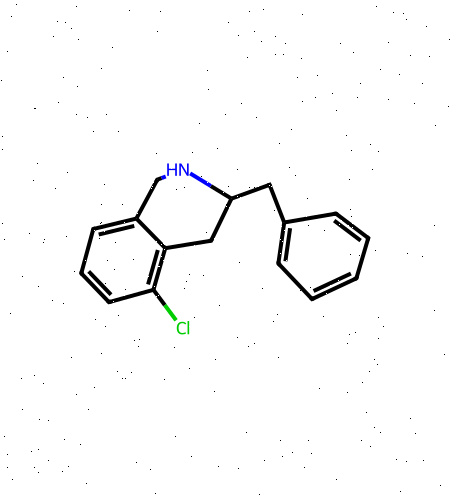 Clc1cccc2c1CC(Cc1ccccc1)NC2